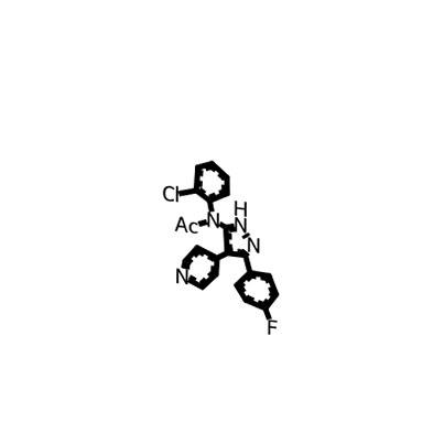 CC(=O)N(c1ccccc1Cl)c1[nH]nc(-c2ccc(F)cc2)c1-c1ccncc1